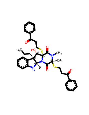 CCC[C@@]12c3ccccc3N[C@@H]1N1C(=O)[C@](C)(SCCC(=O)c3ccccc3)N(C)C(=O)[C@@]1(SCCC(=O)c1ccccc1)[C@H]2O